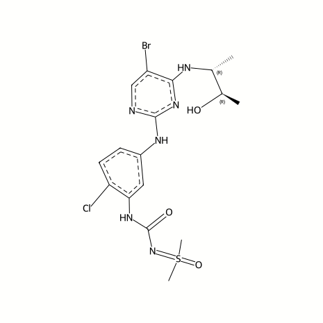 C[C@@H](O)[C@@H](C)Nc1nc(Nc2ccc(Cl)c(NC(=O)N=S(C)(C)=O)c2)ncc1Br